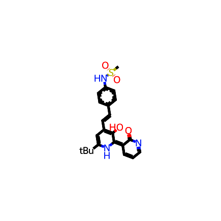 CC(C)(C)C1=CC(C=Cc2ccc(NS(C)(=O)=O)cc2)=C(O)C(=C2C=CC=NC2=O)N1